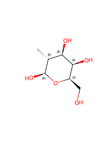 C[C@@H]1[C@@H](O)[C@@H](O)[C@@H](CO)O[C@H]1O